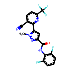 Cn1nc(C(=O)Nc2c(F)cccc2F)cc1-c1nc(C(F)(F)F)ccc1C#N